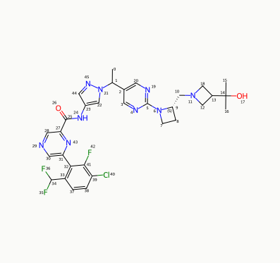 CC(c1cnc(N2CC[C@H]2CN2CC(C(C)(C)O)C2)nc1)n1cc(NC(=O)c2cncc(-c3c(C(F)F)ccc(Cl)c3F)n2)cn1